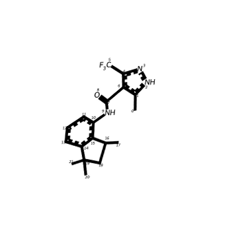 Cc1[nH]nc(C(F)(F)F)c1C(=O)Nc1cccc2c1C(C)CC2(C)C